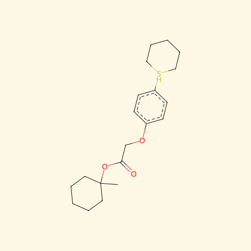 CC1(OC(=O)COc2ccc([SH]3CCCCC3)cc2)CCCCC1